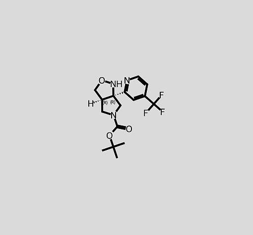 CC(C)(C)OC(=O)N1C[C@H]2CON[C@@]2(c2cc(C(F)(F)F)ccn2)C1